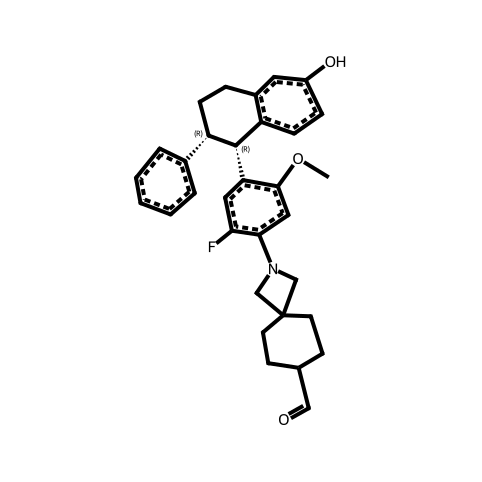 COc1cc(N2CC3(CCC(C=O)CC3)C2)c(F)cc1[C@H]1c2ccc(O)cc2CC[C@H]1c1ccccc1